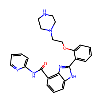 O=C(Nc1ccccn1)c1cccc2[nH]c(-c3ccccc3OCCN3CCNCC3)nc12